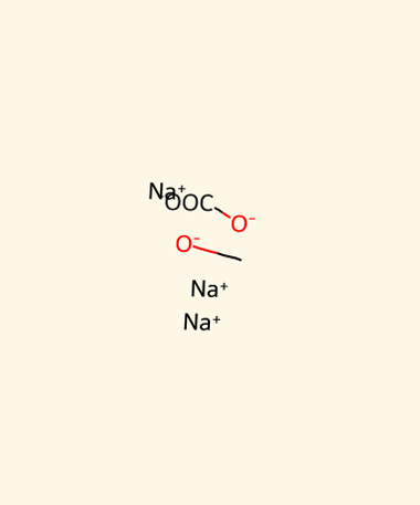 C[O-].O=C([O-])[O-].[Na+].[Na+].[Na+]